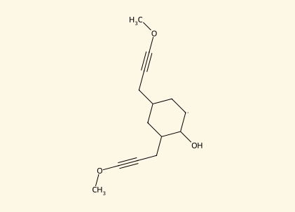 COC#CCC1C[CH]C(O)C(CC#COC)C1